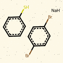 Brc1ccc(Br)cc1.Sc1ccccc1.[NaH]